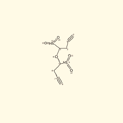 C#CCC(OC(CC#C)[SH](=O)=O)[SH](=O)=O